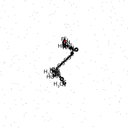 Cc1ncsc1-c1ccc(CNC(=O)[C@@H]2C[C@@H](O)CN2C(=O)[C@@H](NC(=O)CCOCCOCCOCCOCCN2CC([C@@H](c3ccccc3)n3cc(NC(=O)c4n[nH]c5c4C[C@@H]4C(F)(F)[C@]4(C)C5)cn3)C2)C(C)(C)C)cc1